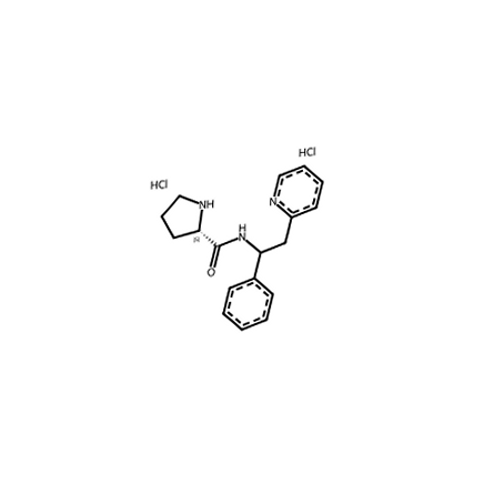 Cl.Cl.O=C(NC(Cc1ccccn1)c1ccccc1)[C@@H]1CCCN1